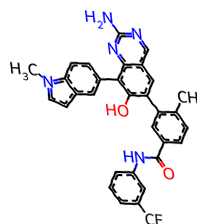 Cc1ccc(C(=O)Nc2cccc(C(F)(F)F)c2)cc1-c1cc2cnc(N)nc2c(-c2ccc3c(ccn3C)c2)c1O